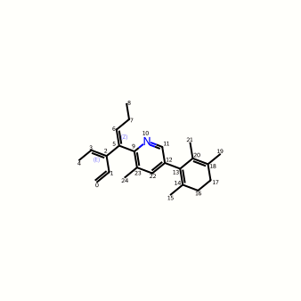 C=CC(=C\C)/C(=C/CC)c1ncc(C2=C(C)CCC(C)=C2C)cc1C